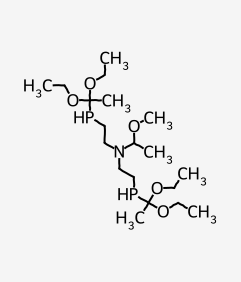 CCOC(C)(OCC)PCCN(CCPC(C)(OCC)OCC)C(C)OC